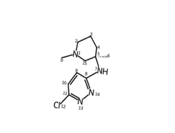 CN1CCC[C@@](C)(Nc2ccc(Cl)nn2)C1